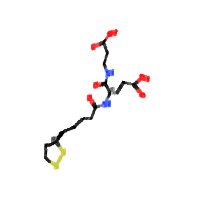 O=C(O)CCNC(=O)[C@H](CCC(=O)O)NC(=O)CCCC[C@@H]1CCSS1